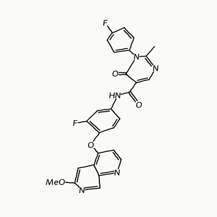 COc1cc2c(Oc3ccc(NC(=O)c4cnc(C)n(-c5ccc(F)cc5)c4=O)cc3F)ccnc2cn1